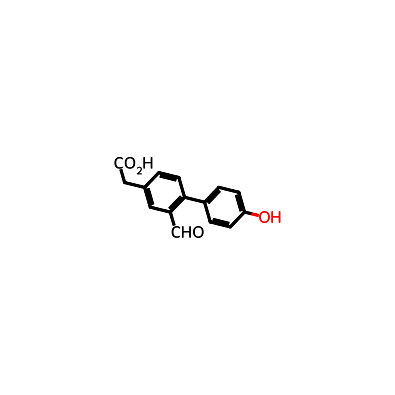 O=Cc1cc(CC(=O)O)ccc1-c1ccc(O)cc1